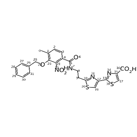 Cc1ccc(C(=O)NCCc2nc(-c3nc(C(=O)O)cs3)cs2)c([N+](=O)[O-])c1OCc1ccccc1